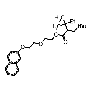 CCC(C)(C)C(CC(C)(C)C)C(=O)OCCOCCOc1ccc2ccccc2c1